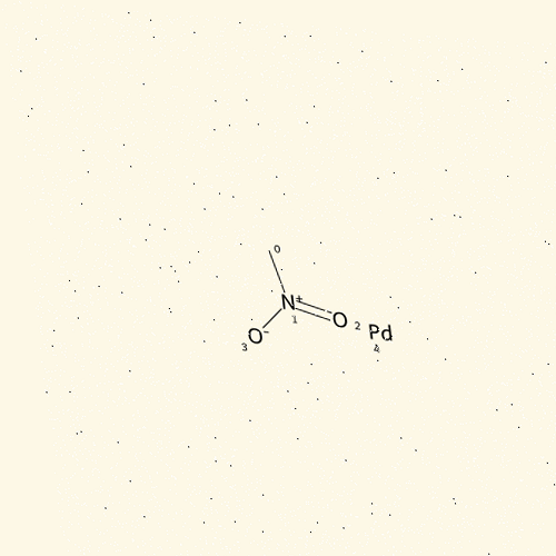 C[N+](=O)[O-].[Pd]